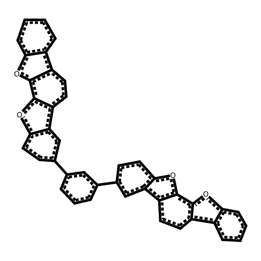 c1cc(-c2ccc3oc4c(ccc5c6ccccc6oc54)c3c2)cc(-c2ccc3oc4c(ccc5c6ccccc6oc54)c3c2)c1